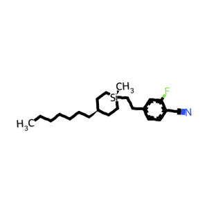 CCCCCCC[C@H]1CC[Si@](C)(CCc2ccc(C#N)c(F)c2)CC1